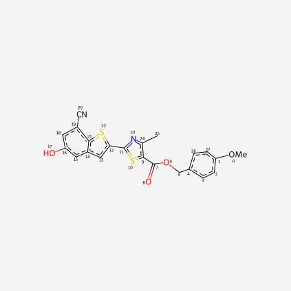 COc1ccc(COC(=O)c2sc(-c3cc4cc(O)cc(C#N)c4s3)nc2C)cc1